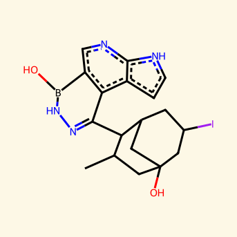 CC1CC2(O)CC(I)CC(C2)C1C1=NNB(O)c2cnc3[nH]ccc3c21